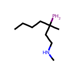 CCCCC(C)(P)CCNC